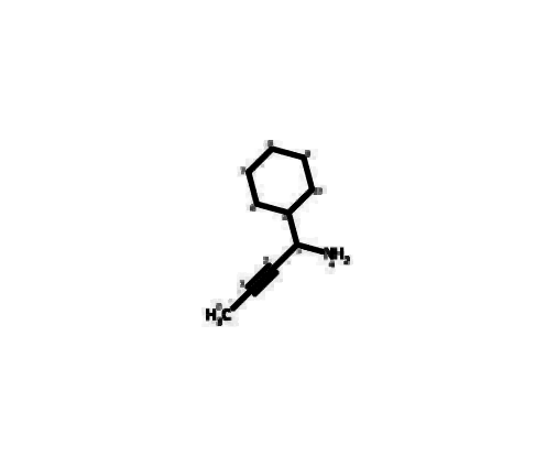 CC#CC(N)C1CCCCC1